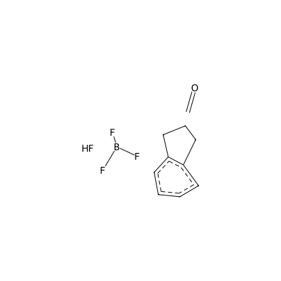 C=O.F.FB(F)F.c1ccc2c(c1)CCC2